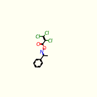 CC(=NOC(=O)C(Cl)=C(Cl)Cl)c1ccccc1